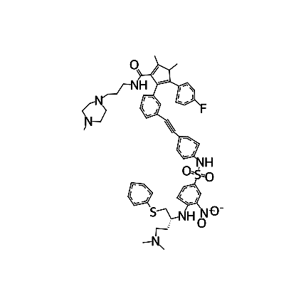 CC1=C(C(=O)NCCCN2CCN(C)CC2)C(c2cccc(C#Cc3ccc(NS(=O)(=O)c4ccc(N[C@H](CCN(C)C)CSc5ccccc5)c([N+](=O)[O-])c4)cc3)c2)=C(c2ccc(F)cc2)C1C